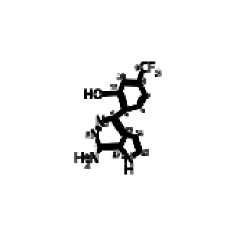 Nc1nnc(-c2ccc(C(F)(F)F)cc2O)c2cc[nH]c12